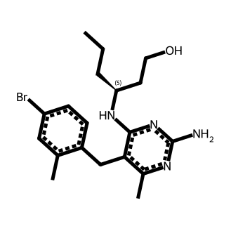 CCC[C@@H](CCO)Nc1nc(N)nc(C)c1Cc1ccc(Br)cc1C